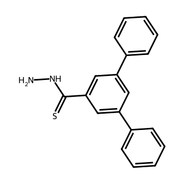 NNC(=S)c1cc(-c2ccccc2)cc(-c2ccccc2)c1